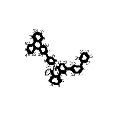 O=c1c2ccccc2c2cc(-c3cccc(-c4ccccc4)c3)ccc2n1-c1ccc(-c2ccc3c4ccccc4c4ccccc4c3c2)cc1